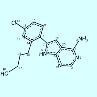 Nc1ncnc2[nH]c(-c3ccc(Cl)nc3CCCO)cc12